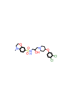 CN1CCOc2cc(S(=O)(=O)NC[C@H](O)CN3CCC(Oc4ccc(Cl)c(Cl)c4)CC3)ccc21